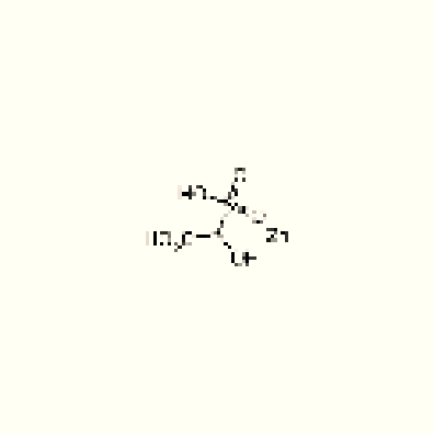 O=C(O)C(O)S(=O)(=O)O.[Zn]